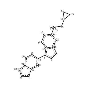 c1cn2nc(-c3ccn4nc(NCC5CC5)ncc34)ccc2n1